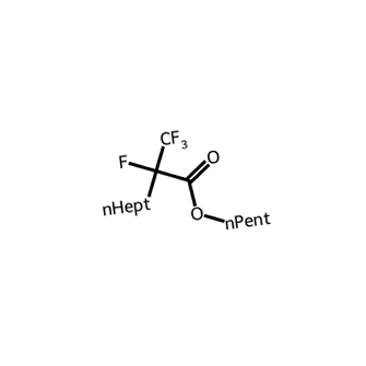 CCCCCCCC(F)(C(=O)OCCCCC)C(F)(F)F